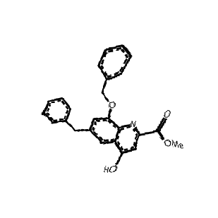 COC(=O)c1cc(O)c2cc(Cc3ccccc3)cc(OCc3ccccc3)c2n1